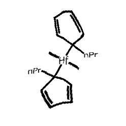 CCC[C]1([Hf]([CH3])([CH3])[C]2(CCC)C=CC=C2)C=CC=C1